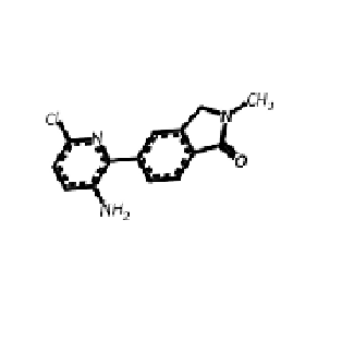 CN1Cc2cc(-c3nc(Cl)ccc3N)ccc2C1=O